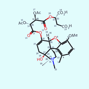 COc1ccc(C)c2c1O[C@H]1C(OC(=O)[C@H](OC(C)=O)[C@@H](OC(C)=O)C(=O)O[C@@H](CC(=O)O)C(=O)O)=CC[C@@]3(O)[C@@H](C)N(C)CC[C@]213